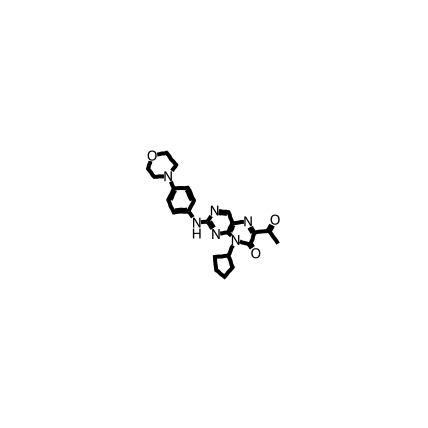 CC(=O)c1nc2cnc(Nc3ccc(N4CCOCC4)cc3)nc2n(C2CCCC2)c1=O